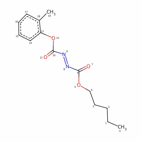 CCCCCOC(=O)N=NC(=O)Oc1ccccc1C